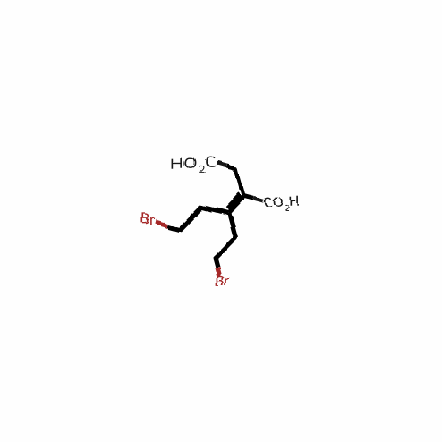 O=C(O)CC(C(=O)O)=C(CCBr)CCBr